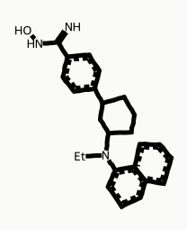 CCN(c1cccc2ccccc12)C1CCCC(c2ccc(C(=N)NO)cc2)C1